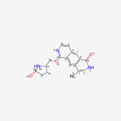 N#Cc1c[nH]c(=O)c2cc3ccnc(OCC4CCC(=O)N4)c3cc12